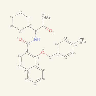 COC(=O)C(NC(=O)c1ccc2ccccc2c1OCc1ccc(C(F)(F)F)cc1)C1CCCCC1